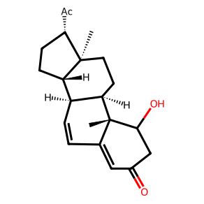 CC(=O)[C@H]1CC[C@H]2[C@@H]3C=CC4=CC(=O)CC(O)[C@@]4(C)[C@@H]3CC[C@]12C